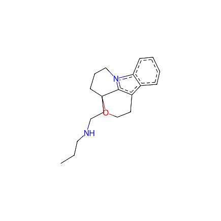 CCCNCCC12CCCn3c1c(c1ccccc13)CCO2